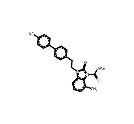 COC(=O)n1c(=O)n(CCc2ccc(-c3ccc(C#N)cc3)cc2)c2cccc(C)c21